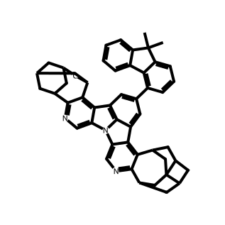 CC1(C)c2ccccc2-c2c(-c3cc4c5c6c(ncc5n5c7cnc8c(c7c(c3)c45)C3CC4CC5CC8CC54C3)C3CC4CC(C3)CC6C4)cccc21